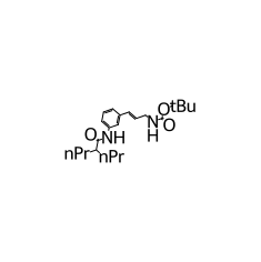 CCCC(CCC)C(=O)Nc1cccc(C=CCNC(=O)OC(C)(C)C)c1